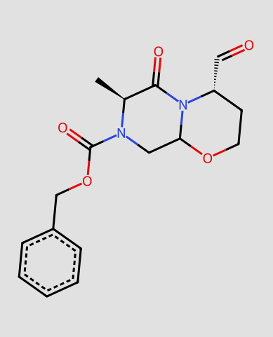 C[C@H]1C(=O)N2C(CN1C(=O)OCc1ccccc1)OCC[C@H]2C=O